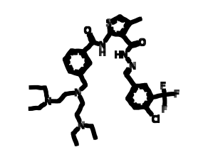 CCN(CC)CCN(CCN(CC)CC)Cc1cccc(C(=O)Nc2scc(C)c2C(=O)NN=Cc2ccc(Cl)c(C(F)(F)F)c2)c1